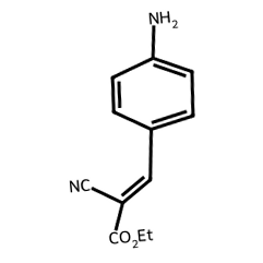 CCOC(=O)C(C#N)=Cc1ccc(N)cc1